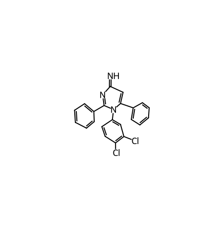 N=c1cc(-c2ccccc2)n(-c2ccc(Cl)c(Cl)c2)c(-c2ccccc2)n1